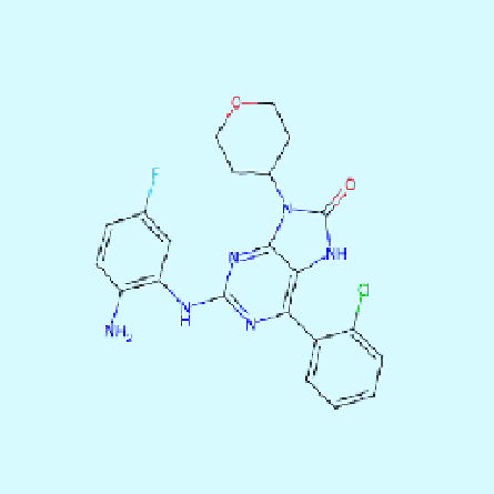 Nc1ccc(F)cc1Nc1nc(-c2ccccc2Cl)c2[nH]c(=O)n(C3CCOCC3)c2n1